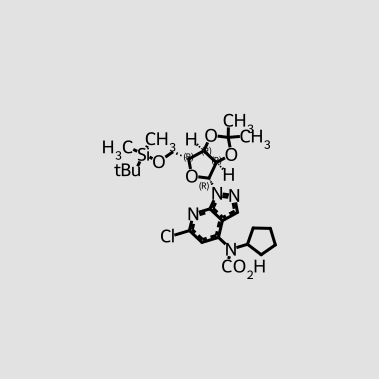 CC1(C)O[C@@H]2[C@H](O1)[C@@H](CO[Si](C)(C)C(C)(C)C)O[C@H]2n1ncc2c(N(C(=O)O)C3CCCC3)cc(Cl)nc21